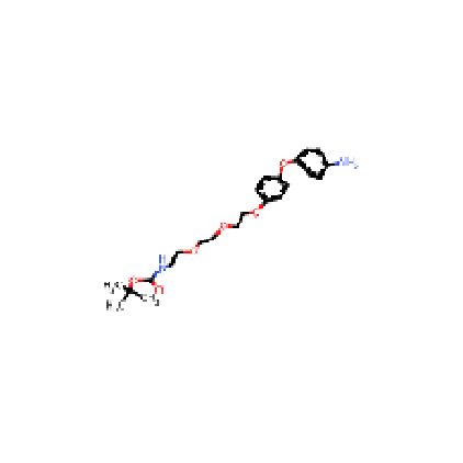 CC(C)(C)OC(=O)NCCOCCOCCOc1ccc(Oc2ccc(N)cc2)cc1